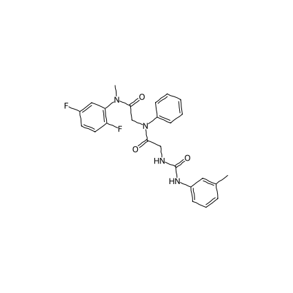 Cc1cccc(NC(=O)NCC(=O)N(CC(=O)N(C)c2cc(F)ccc2F)c2ccccc2)c1